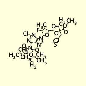 CCOC(=O)C(Cc1ccsc1)(OC[C@H]1O[C@@H](n2cnc3c(N(C(=O)OC(C)(C)C)C(=O)OC(C)(C)C)nc(Cl)nc32)[C@@H](F)[C@@H]1C)C(C)=O